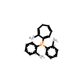 CC1=CCC=CC=C1P(c1ccccc1C)c1ccccc1C